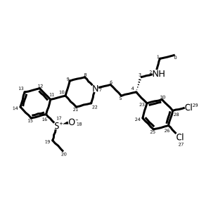 CCNC[C@@H](CCN1CCC(c2ccccc2[S@@+]([O-])CC)CC1)c1ccc(Cl)c(Cl)c1